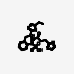 CCc1csc(C(Cc2ccccc2NS(=O)(=O)O)NC(=O)CCc2nccs2)n1